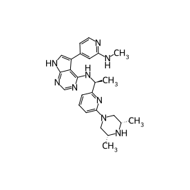 CNc1cc(-c2c[nH]c3ncnc(N[C@@H](C)c4cccc(N5C[C@@H](C)N[C@@H](C)C5)n4)c23)ccn1